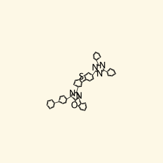 c1ccc(-c2ccc(-c3nc(-c4ccc5sc6cc(-c7nc(-c8ccccc8)nc(-c8ccccc8)n7)ccc6c5c4)nc4c3oc3ccccc34)cc2)cc1